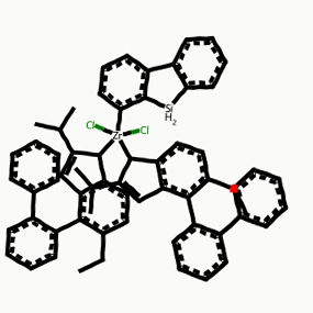 CCc1ccc2c(c1-c1ccccc1-c1ccccc1)C=C(C(C)C)[CH]2[Zr]([Cl])([Cl])([c]1cccc2c1[SiH2]c1ccccc1-2)[CH]1C(C(C)C)=Cc2c1ccc(CC)c2-c1ccccc1-c1ccccc1